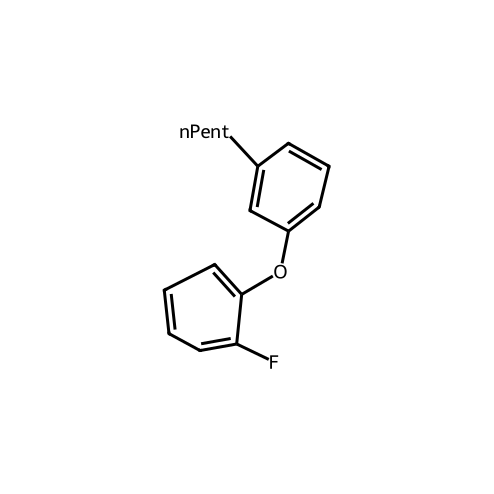 CCCCCc1cccc(Oc2ccccc2F)c1